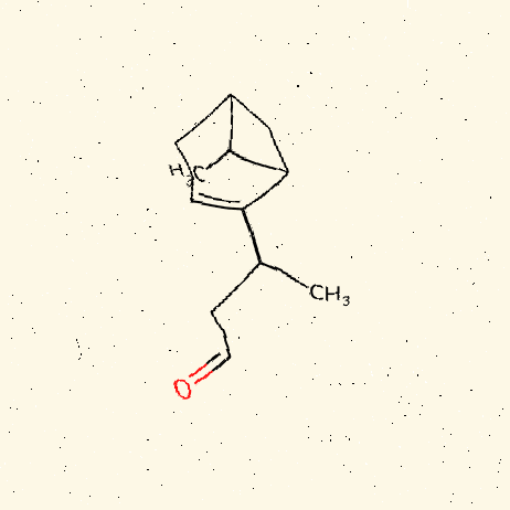 CC(CC=O)C1=CCC2CC1C2C